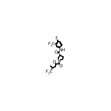 C[C@@H](CC(=O)C(=O)N1CC[C@H](C(=O)Nc2ccc(F)c(C(F)(F)F)c2)C1)C(F)(F)F